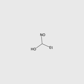 [CH2]CC(O)N=O